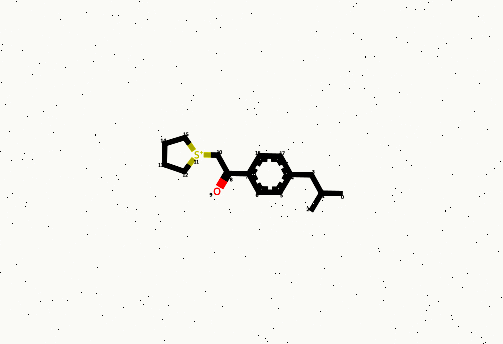 CC(C)Cc1ccc(C(=O)C[S+]2CCCC2)cc1